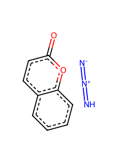 O=c1ccc2ccccc2o1.[N-]=[N+]=N